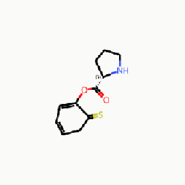 O=C(OC1=CC=CCC1=S)[C@@H]1CCCN1